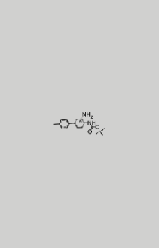 Cc1ccc(C2=CCC(NC(=O)OC(C)(C)C)[C@@H](N)C2)cc1